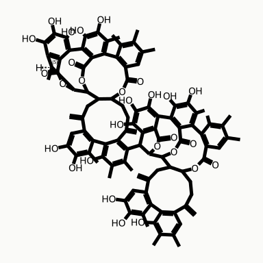 C=C1CC2C(CCC(=C)c3cc(C)c(C)c(O)c3-c3c1cc(O)c(O)c3C)OC(=O)c1cc(C)c(C)c(C)c1-c1c(C)c(O)c(O)c3c1C(=O)OC2C1OC(=O)c2c-3c(O)c(O)c(O)c2C1c1c(C)c(C)c(O)c2c1C(=C)CCC1OC(=O)c3cc(C)c(C)c(C)c3-c3c(C)c(O)c(O)c4c3C(=O)OC(C1CC(=C)c1cc(O)c(O)c(C)c1-2)C1OC(=O)c2c-4c(O)c(O)c(O)c2[C@@H]1C